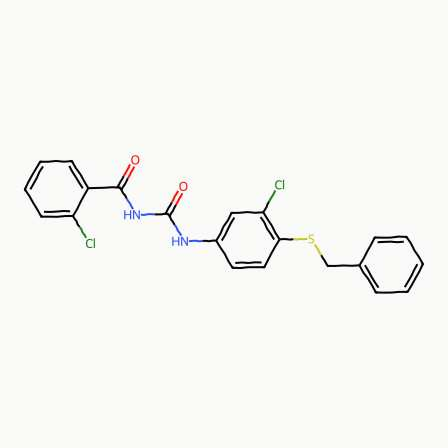 O=C(NC(=O)c1ccccc1Cl)Nc1ccc(SCc2ccccc2)c(Cl)c1